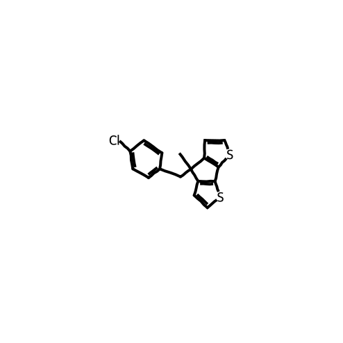 CC1(Cc2ccc(Cl)cc2)c2ccsc2-c2sccc21